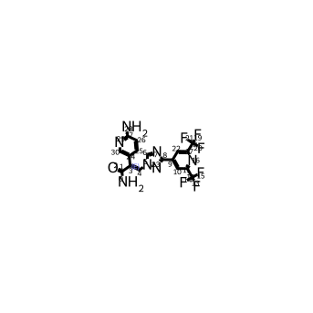 NC(=O)/C(=C/n1cnc(-c2cc(C(F)(F)F)nc(C(F)(F)F)c2)n1)c1ccc(N)nc1